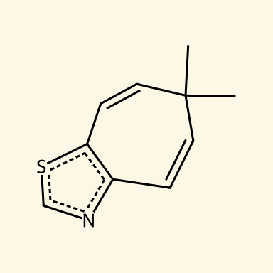 CC1(C)C=Cc2ncsc2C=C1